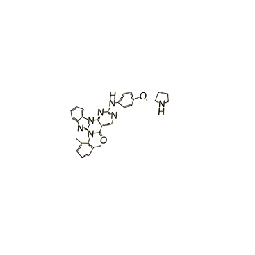 Cc1cccc(C)c1-n1c(=O)c2cnc(Nc3ccc(OC[C@@H]4CCCN4)cc3)nc2n2c3ccccc3nc12